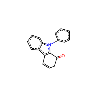 O=C1CC=Cc2c1n(-c1ccccc1)c1ccccc21